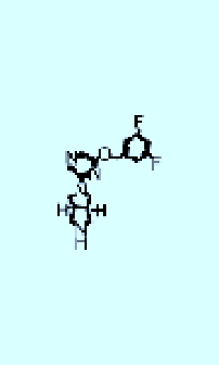 Fc1cc(F)cc(COc2cncc(N3C[C@H]4CNC[C@H]4C3)n2)c1